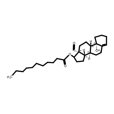 CCCCCCCCCCC(=O)OC1CC[C@H]2[C@@H]3CCC4=CCCC[C@]4(C)[C@H]3CC[C@]12C=O